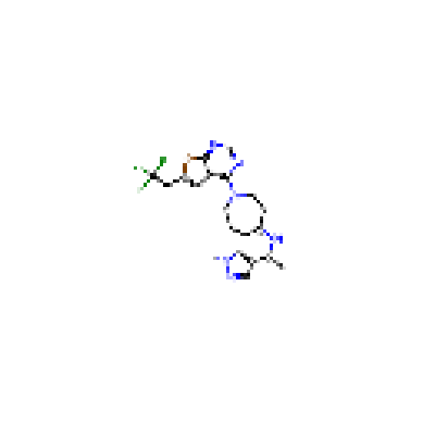 C[C@H](N[C@H]1CCCN(c2ncnc3sc(CC(F)(F)F)cc23)CC1)c1cnn(C)c1